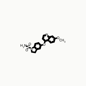 COc1ccc2c(Oc3ccc4c(c3)CCN4S(N)(=O)=O)ccnc2c1